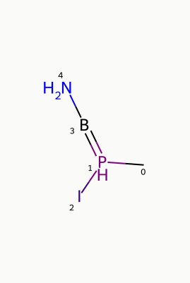 C[PH](I)=BN